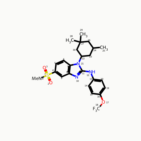 CNS(=O)(=O)c1ccc2c(c1)nc(Nc1ccc(OC(F)(F)F)cc1)n2C1CC(C)CC(C)(C)C1